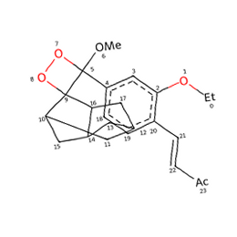 CCOc1cc(C2(OC)OOC23C2CC4CC(C2)C3C4)ccc1/C=C/C(C)=O